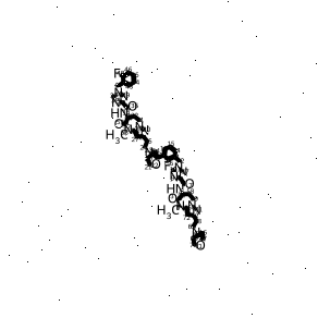 CN1C(=O)[C@@H](NC(=O)c2ncn(Cc3cccc(C45CC(CO4)N(CCc4cc6n(n4)CC[C@@H](NC(=O)c4ncn(Cc7ccccc7F)n4)C(=O)N6C)C5)c3F)n2)CCn2nc(CCN3CC4CC3CO4)cc21